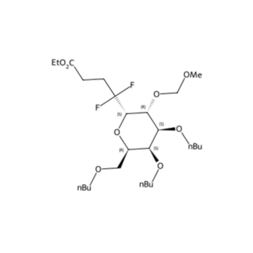 CCCCOC[C@H]1O[C@H](C(F)(F)CCC(=O)OCC)[C@H](OCOC)[C@@H](OCCCC)[C@H]1OCCCC